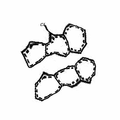 Clc1c2ccccc2cc2ccccc12.c1ccc2cc3ccccc3cc2c1